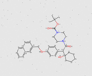 CC(C)(C)OC(=O)N1CCN(C(=O)C(c2ccc(OCc3ccc4ccccc4c3)cc2)C2(O)CCCCC2)CC1